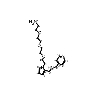 NCCOCCOCCOCCn1cccc1CNCc1ccncc1